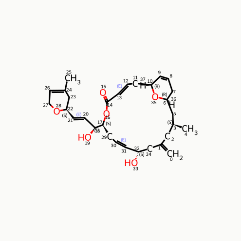 C=C1C[C@H](C)C[C@@H]2CC=C[C@@H](C/C=C/C(=O)O[C@H]([C@@H](O)/C=C/[C@@H]3CC(C)=CCO3)C/C=C/[C@@H](O)C1)O2